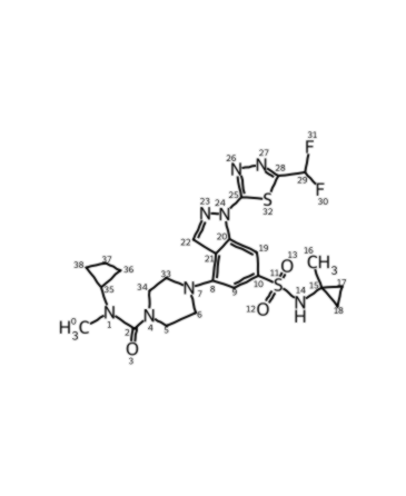 CN(C(=O)N1CCN(c2cc(S(=O)(=O)NC3(C)CC3)cc3c2cnn3-c2nnc(C(F)F)s2)CC1)C1CCC1